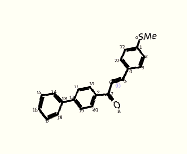 CSc1ccc(/C=C/C(=O)c2ccc(-c3ccccc3)cc2)cc1